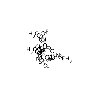 COc1ccc(F)cc1-c1nccc(COc2ccc3cc2C[C@H](C(=O)OC(C)(C)C)Oc2ncnc4sc(-c5ccc(F)cc5)c(c24)-c2ccc(c(Cl)c2C)O[C@H](CN2CCN(C)CC2)CO3)n1